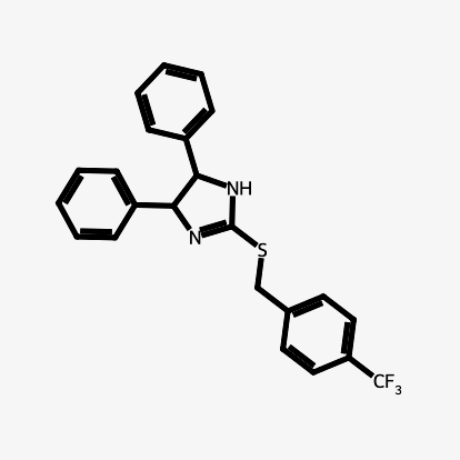 FC(F)(F)c1ccc(CSC2=NC(c3ccccc3)C(c3ccccc3)N2)cc1